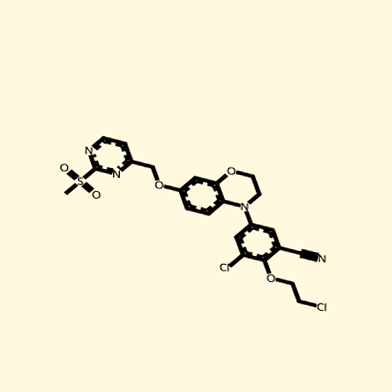 CS(=O)(=O)c1nccc(COc2ccc3c(c2)OCCN3c2cc(Cl)c(OCCCl)c(C#N)c2)n1